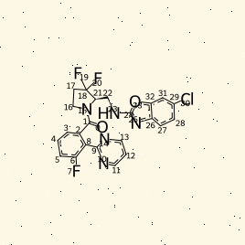 O=C(c1cccc(F)c1-c1ncccn1)N1CCC(F)(F)[C@H]1CNc1nc2ccc(Cl)cc2o1